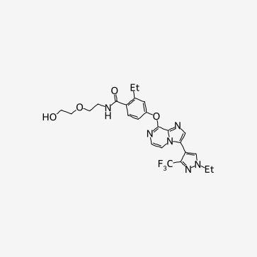 CCc1cc(Oc2nccn3c(-c4cn(CC)nc4C(F)(F)F)cnc23)ccc1C(=O)NCCOCCO